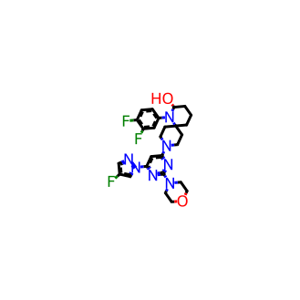 OC1CCCC2(CCN(c3cc(-n4cc(F)cn4)nc(N4CCOCC4)n3)CC2)N1c1ccc(F)c(F)c1